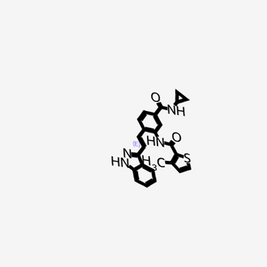 Cc1ccsc1C(=O)Nc1cc(C(=O)NC2CC2)ccc1/C=C/c1n[nH]c2ccccc12